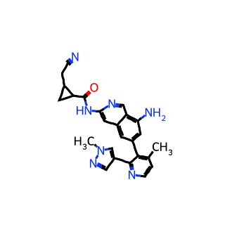 Cc1ccnc(-c2cnn(C)c2)c1-c1cc(N)c2cnc(NC(=O)C3CC3CC#N)cc2c1